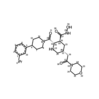 CC(C)c1cccc(C2CCN(C(=O)[C@H]3NC[C@@H](CC(=O)N4CCOCC4)C[C@@H]3C(=O)NO)CC2)c1